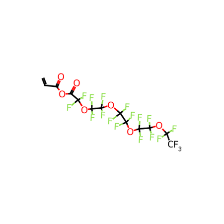 C=CC(=O)OC(=O)C(F)(F)OC(F)(F)C(F)(F)OC(F)(F)C(F)(F)OC(F)(F)C(F)(F)OC(F)(F)C(F)(F)F